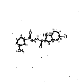 Cc1cccc(C(=O)NNC(=O)c2cc3cc(Cl)ccc3[nH]2)c1